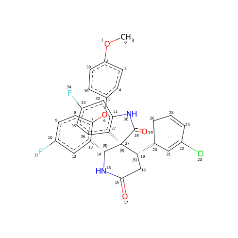 COc1ccc(Oc2ccc(F)cc2[C@H]2NC(=O)C[C@@H](C3C=C(Cl)C=CC3)[C@]23C(=O)Nc2cc(F)ccc23)cc1